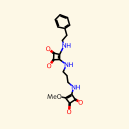 COc1c(NCCCNc2c(NCCc3ccccc3)c(=O)c2=O)c(=O)c1=O